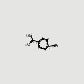 CC(C)c1ccc(C(=O)C(C)(C)C)cc1